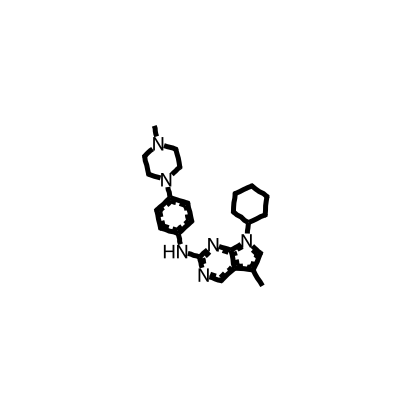 Cc1cn(C2CCCCC2)c2nc(Nc3ccc(N4CCN(C)CC4)cc3)ncc12